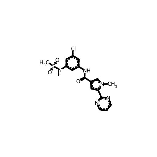 Cn1cc(C(=O)Nc2cc(Cl)cc(NS(C)(=O)=O)c2)cc1-c1ncccn1